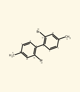 Cc1ccc(-c2ccc(C)cc2Br)c(Br)c1